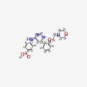 COC(=O)c1ccc(Nc2cc(-c3ccccc3OCCN3CCOCC3)ncn2)cc1